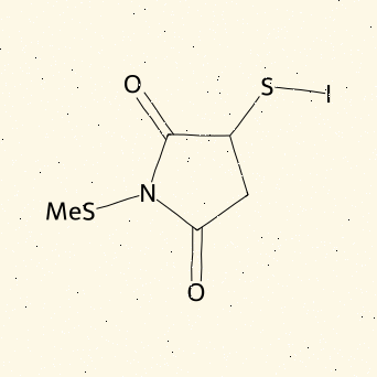 CSN1C(=O)CC(SI)C1=O